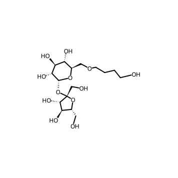 OCCC[CH]OC[C@H]1O[C@H](O[C@]2(CO)O[C@H](CO)[C@@H](O)[C@@H]2O)[C@H](O)[C@@H](O)[C@@H]1O